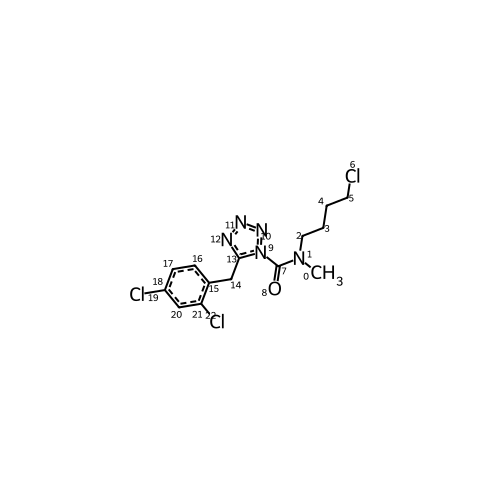 CN(CCCCCl)C(=O)n1nnnc1Cc1ccc(Cl)cc1Cl